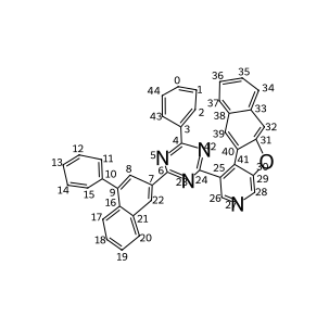 c1ccc(-c2nc(-c3cc(-c4ccccc4)c4ccccc4c3)nc(-c3cncc4oc5cc6ccccc6cc5c34)n2)cc1